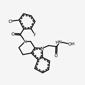 O=C(Cn1c2c(c3ccccc31)CCN(C(=O)c1c(F)cccc1Cl)C2)NO